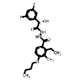 CCCCOc1ccc(C(=O)NNC(=O)[C@@H](O)c2cc(F)cc(F)c2)c(CC)c1C